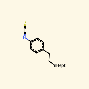 CCCCCCCCCc1ccc(N=C=S)cc1